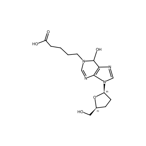 O=C(O)CCCCN1C=Nc2c(ncn2[C@H]2CC[C@@H](CO)O2)C1O